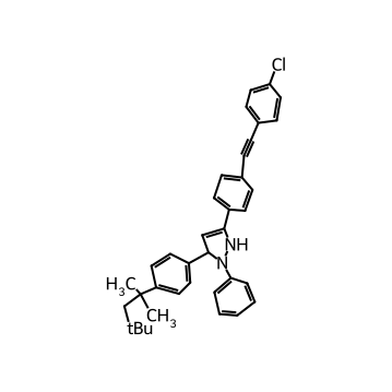 CC(C)(C)CC(C)(C)c1ccc(C2C=C(c3ccc(C#Cc4ccc(Cl)cc4)cc3)NN2c2ccccc2)cc1